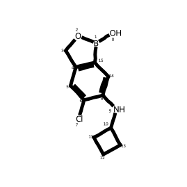 OB1OCc2cc(Cl)c(NC3CCC3)cc21